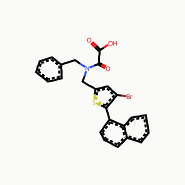 O=C(O)C(=O)N(Cc1ccccc1)Cc1cc(Br)c(-c2cccc3ccccc23)s1